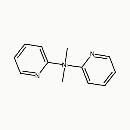 [CH3][Ni]([CH3])([c]1ccccn1)[c]1ccccn1